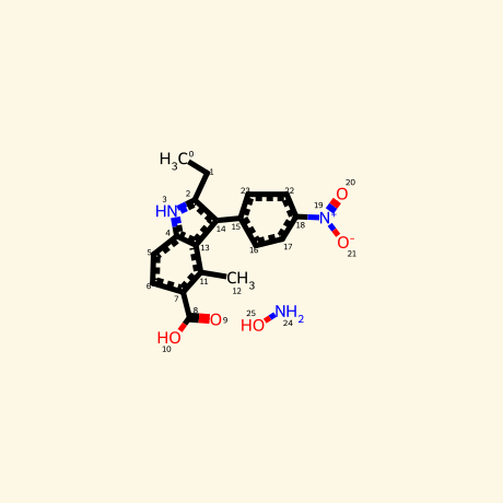 CCc1[nH]c2ccc(C(=O)O)c(C)c2c1-c1ccc([N+](=O)[O-])cc1.NO